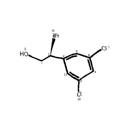 CC(C)[C@H](CO)c1cc(Cl)cc(Cl)c1